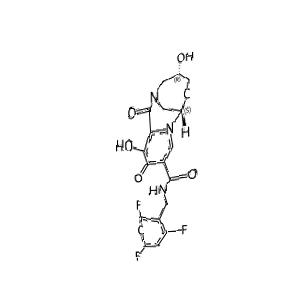 O=C(NCc1c(F)cc(F)cc1F)c1cn2c(c(O)c1=O)C(=O)N1C[C@H](O)CC[C@H]2C1